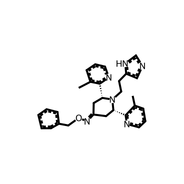 Cc1cccnc1[C@H]1CC(=NOCc2ccccc2)C[C@@H](c2ncccc2C)N1CCc1cnc[nH]1